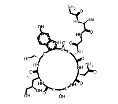 CC[C@H](C)[C@H](NC(=O)CN)C(=O)NCC(=O)N[C@H]1C[S+]([O-])c2[nH]c3cc(O)ccc3c2C[C@@H](CO)NC(=O)[C@H]([C@@H](C)[C@@H](O)CO)NC(=O)C[C@@H](O)CNC(=O)[C@H](CC(N)=O)NC1=O